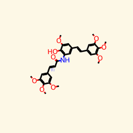 COc1cc(C=Cc2cc(OC)c(OC)c(OC)c2)cc(NC(=O)/C=C/c2cc(OC)c(OC)c(OC)c2)c1O